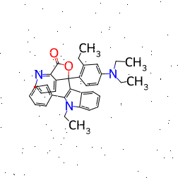 CCc1cc(N(CC)CC)ccc1C1(c2c(-c3ccccc3)n(CC)c3ccccc23)OC(=O)c2ncccc21